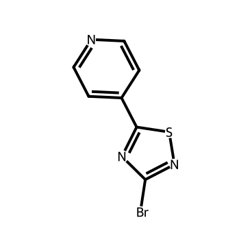 Brc1nsc(-c2ccncc2)n1